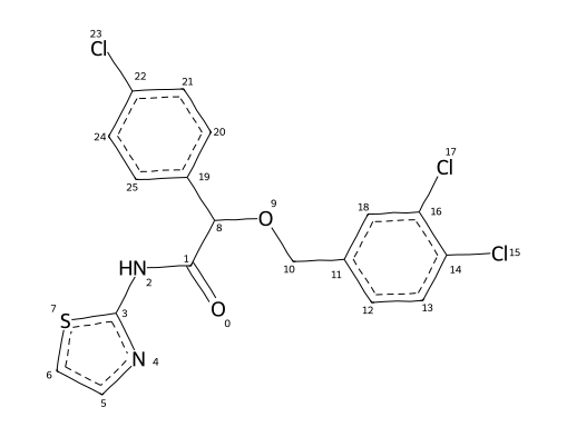 O=C(Nc1nccs1)C(OCc1ccc(Cl)c(Cl)c1)c1ccc(Cl)cc1